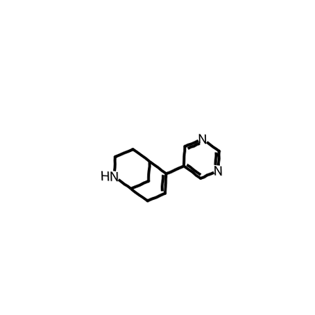 C1=C(c2cncnc2)C2CCNC(C1)C2